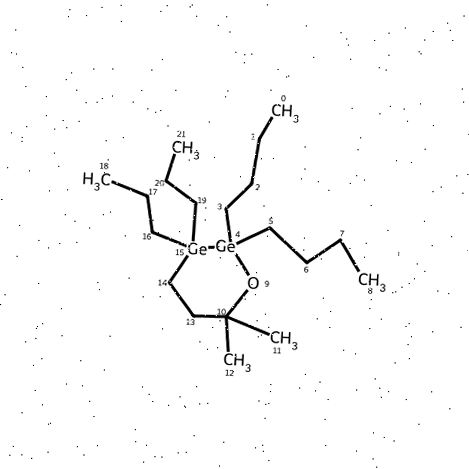 CCC[CH2][Ge]1([CH2]CCC)[O]C(C)(C)C[CH2][Ge]1([CH2]CC)[CH2]CC